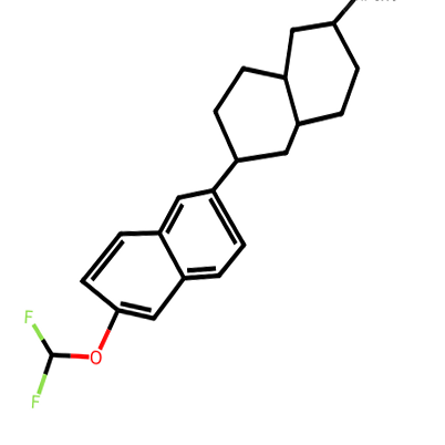 CCCCCC1CCC2CC(c3ccc4cc(OC(F)F)ccc4c3)CCC2C1